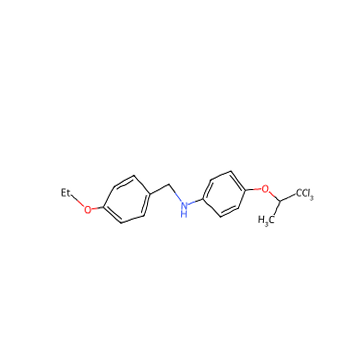 CCOc1ccc(CNc2ccc(OC(C)C(Cl)(Cl)Cl)cc2)cc1